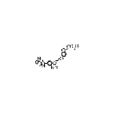 CCCc1cc(-c2nc(C)c(C(=O)N(C)C)s2)ccc1OCCCOc1ccc2c(c1)CC[C@H]2CC(=O)O